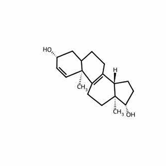 C[C@]12CCC3=C(CCC4C[C@@H](O)C=C[C@]34C)[C@@H]1CC[C@@H]2O